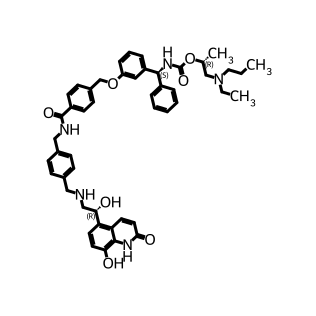 CCCN(CC)C[C@@H](C)OC(=O)N[C@@H](c1ccccc1)c1cccc(OCc2ccc(C(=O)NCc3ccc(CNC[C@H](O)c4ccc(O)c5[nH]c(=O)ccc45)cc3)cc2)c1